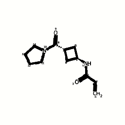 C=CC(=O)N[C@H]1C[C@H](C(=O)N2CCCC2)C1